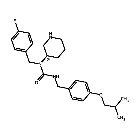 CC(C)COc1ccc(CNC(=O)N(Cc2ccc(F)cc2)[C@@H]2CCCNC2)cc1